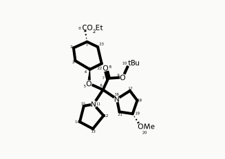 CCOC(=O)[C@H]1CC[C@H](OC(C(=O)OC(C)(C)C)(N2CCCC2)N2CC[C@H](OC)C2)CC1